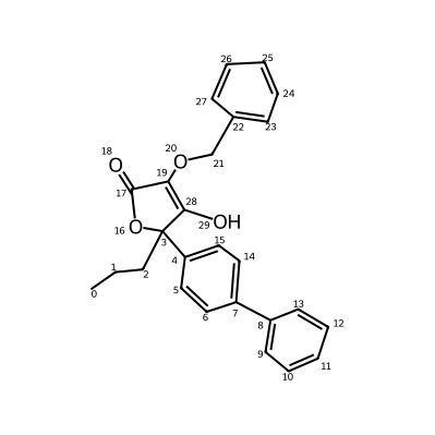 CCCC1(c2ccc(-c3ccccc3)cc2)OC(=O)C(OCc2ccccc2)=C1O